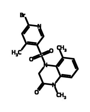 Cc1cc(Br)ncc1S(=O)(=O)N1CC(=O)N(C)c2cccc(C)c21